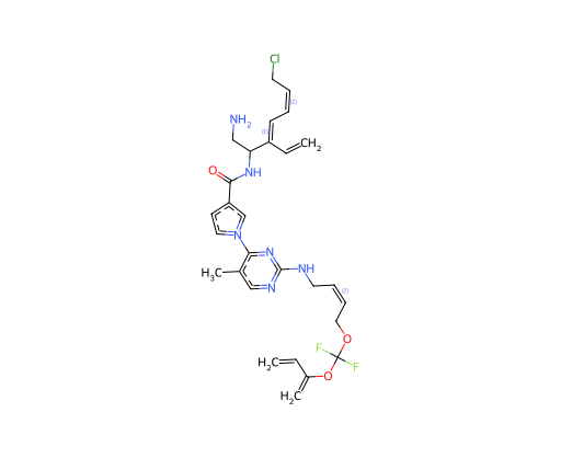 C=CC(=C)OC(F)(F)OC/C=C\CNc1ncc(C)c(-n2ccc(C(=O)NC(CN)/C(C=C)=C/C=C\CCl)c2)n1